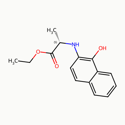 CCOC(=O)[C@H](C)Nc1ccc2ccccc2c1O